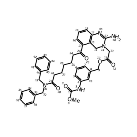 COC(=O)Nc1cccc(COC(=O)CN2Cc3c(cccc3C(=O)CCCCCC(=O)N(Cc3ccccc3)Cc3ccccc3)N=C2N)c1